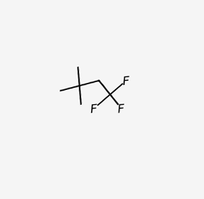 CC(C)(C)CC(F)(F)F